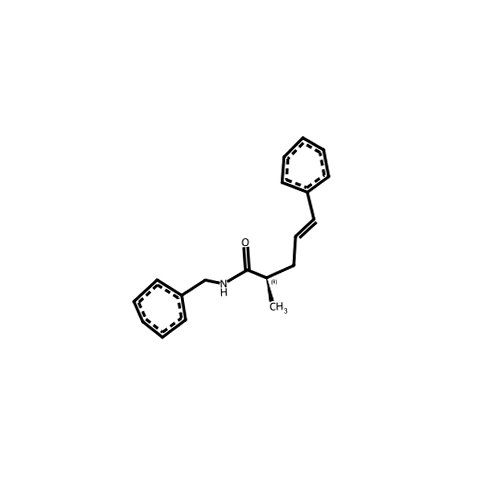 C[C@H](CC=Cc1ccccc1)C(=O)NCc1ccccc1